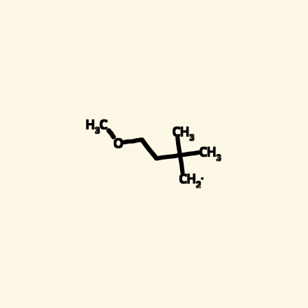 [CH2]C(C)(C)CCOC